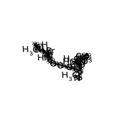 Cc1ncsc1-c1ccc(CNC(=O)[C@@H]2C[C@@H](O)CN2C(=O)[C@H](C(C)C)N2Cc3ccccc3C2=O)c(OCCCOCCCCOCCCOc2ccc(Nc3ncc(Br)c(NCCCN(C)C(=O)C4CCC4)n3)cc2)c1